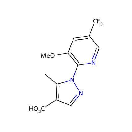 COc1cc(C(F)(F)F)cnc1-n1ncc(C(=O)O)c1C